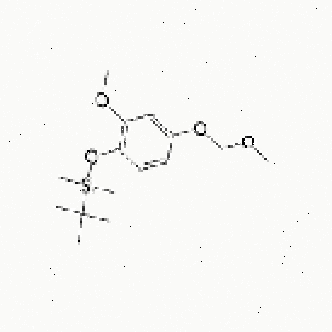 COCOc1ccc(O[Si](C)(C)C(C)(C)C)c(OC)c1